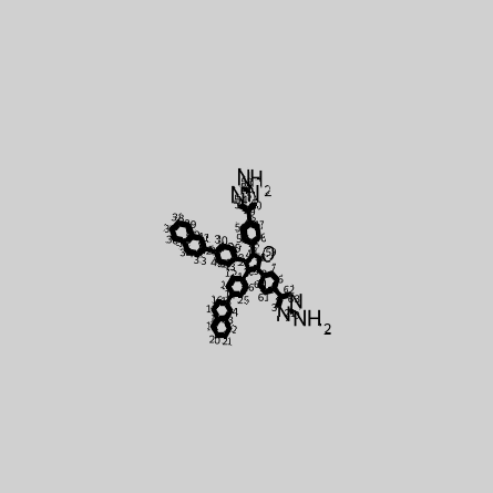 Nc1ncc(-c2ccc(C3=C(c4ccc(-c5ccc6ccccc6c5)cc4)C(c4ccc(-c5ccc6ccccc6c5)cc4)=C(c4ccc(-c5cnc(N)nc5)cc4)C3=O)cc2)cn1